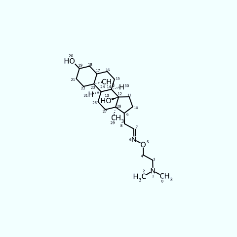 CN(C)CCON=CCC1CC[C@@]2(O)[C@@H]3CCC4CC(O)CC[C@]4(C)[C@@H]3CC[C@]12C